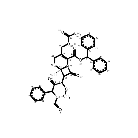 CON(C(=O)C(OC=O)c1ccccc1)C1C(=O)N2C(C(=O)OC(c3ccccc3)c3ccccc3)=C(COC(C)=O)CS[C@H]12